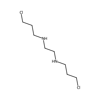 ClCCCNCCNCCCCl